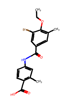 CCOc1c(C)cc(C(=O)Nc2ccc(C(=O)O)c(C)c2)cc1Br